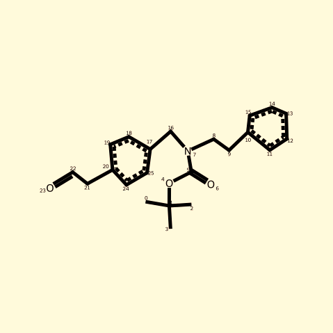 CC(C)(C)OC(=O)N(CCc1ccccc1)Cc1ccc(CC=O)cc1